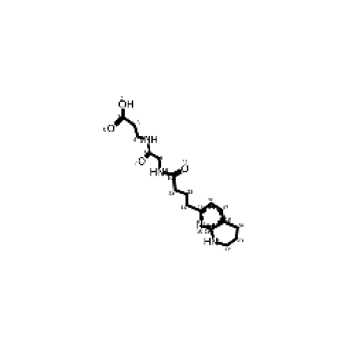 O=C(O)CCNC(=O)CNC(=O)CCCc1ccc2c(n1)NCCC2